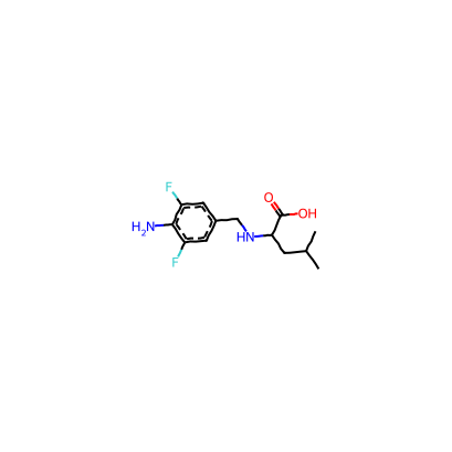 CC(C)CC(NCc1cc(F)c(N)c(F)c1)C(=O)O